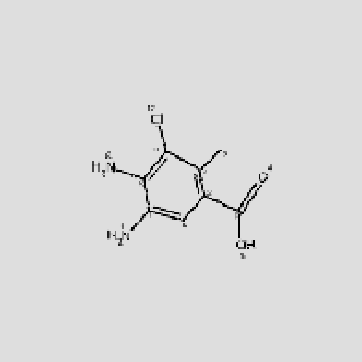 Cc1c(C(=O)O)cc(N)c(N)c1Cl